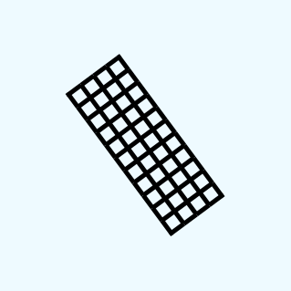 C1C2C3C4CC5C6C7C8C9C%10C%11C%12C%13C%14CC%15C%16C%17CC%18C%19C%20C%21C%22C%23C%24C%25C%26C1C21C32C45C63C74C85C96C%107C%118C%129C%13%10C%15%14C%16%11C%17%18C%19%12C%20%13C%21%14C%22%15C%23%16C%24%17C%25%18C%261C23C%184C%175C%166C%157C%148C%139C%11%12%10